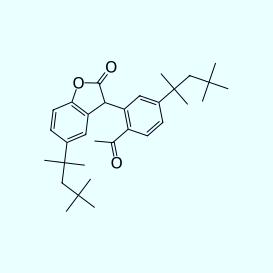 CC(=O)c1ccc(C(C)(C)CC(C)(C)C)cc1C1C(=O)Oc2ccc(C(C)(C)CC(C)(C)C)cc21